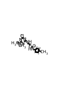 Cc1ccc(NC(=O)OCCNc2nc(Cl)nc(N(C)C)n2)cc1